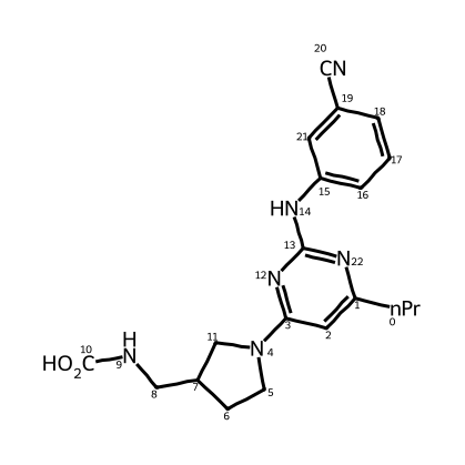 CCCc1cc(N2CCC(CNC(=O)O)C2)nc(Nc2cccc(C#N)c2)n1